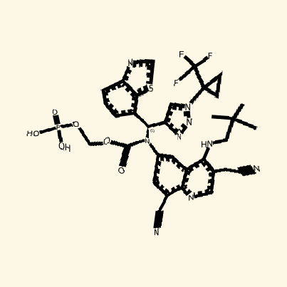 CC(C)(C)CNc1c(C#N)cnc2c(C#N)cc(N(C(=O)OCOP(=O)(O)O)[C@H](c3cn(C4(C(F)(F)F)CC4)nn3)c3cccc4ncsc34)cc12